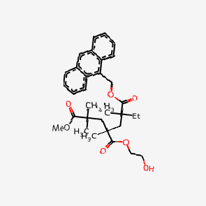 CCC(C)(CC(C)(CC(C)(C)C(=O)OC)C(=O)OCCO)C(=O)OCc1c2ccccc2cc2ccccc12